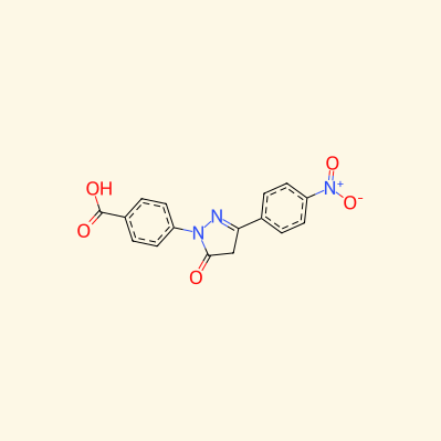 O=C(O)c1ccc(N2N=C(c3ccc([N+](=O)[O-])cc3)CC2=O)cc1